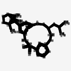 CC(C)C[C@@H]1COc2cc(C3CC4CCC3(C)C4(C)C)nc(n2)NS(=O)(=O)c2cccc(c2)CN1